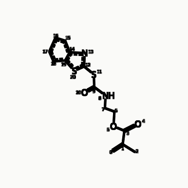 C=C(C)C(=O)OCCNC(=O)Sc1nc2ccccc2s1